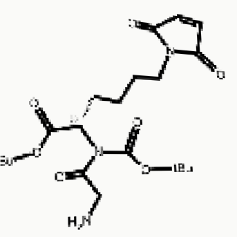 CC(C)(C)OC(=O)[C@H](CCCCN1C(=O)C=CC1=O)N(C(=O)CN)C(=O)OC(C)(C)C